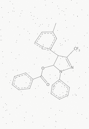 Cc1cccc(C2C(C(F)(F)F)=NN(c3ccccc3)C2OC(=O)c2ccccc2)c1